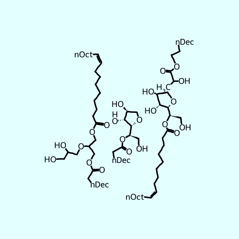 CCCCCCCC/C=C\CCCCCCCC(=O)OCC(COC(=O)CCCCCCCCCCC)OCC(O)CO.CCCCCCCC/C=C\CCCCCCCC(=O)O[C@H](CO)[C@H]1OC[C@H](O)[C@H]1O.CCCCCCCCCCCC(=O)O[C@H](CO)[C@H]1OC[C@H](O)[C@H]1O.CCCCCCCCCCCCOC(=O)C(C)O